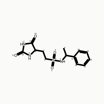 CC(NS(=O)(=O)CCC1NC(=O)NC1=O)c1ccccc1